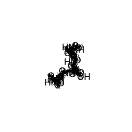 COC(=O)NC(=N)N(C(=O)OC)c1ccc(C(=O)NCCC[C@H]2C(=O)N(CC(=O)O)CCN2C(=O)CNC(=O)c2ccc(N(C(=N)NC(=O)OC)C(=O)OC)cc2)cc1